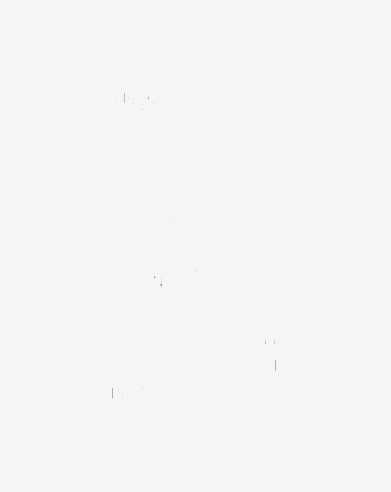 CCCCOc1ccc(-c2nc(COc3ccc(OCC(=O)O)c(C)c3)sc2-c2ccc(OC(F)(F)F)cc2)cc1